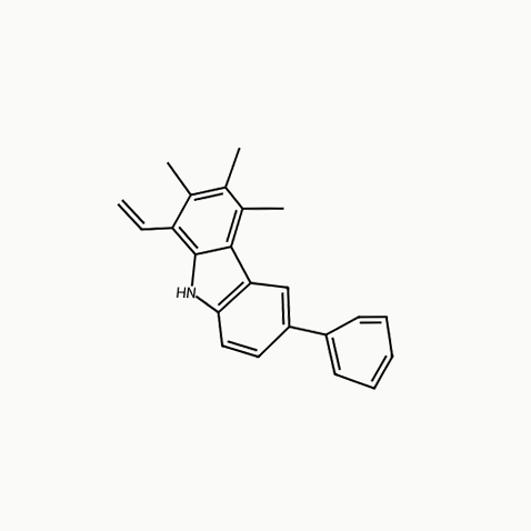 C=Cc1c(C)c(C)c(C)c2c1[nH]c1ccc(-c3ccccc3)cc12